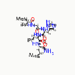 CN[C@H](C(=O)NCC(=O)N[C@@H](Cc1cnc[nH]1)C(=O)N[C@@H](CC(C)C)C(=O)N[C@@H](CCSC)C(N)=O)C(C)C